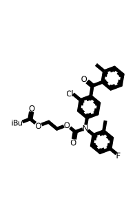 CCC(C)C(=O)OCCOC(=O)N(c1ccc(C(=O)c2ccccc2C)c(Cl)c1)c1ccc(F)cc1C